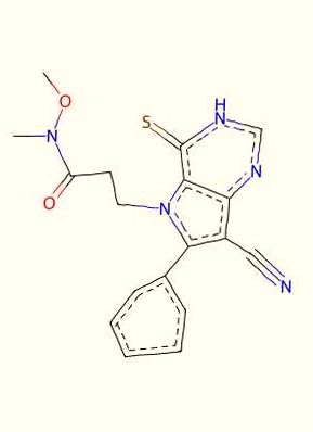 CON(C)C(=O)CCn1c(-c2ccccc2)c(C#N)c2nc[nH]c(=S)c21